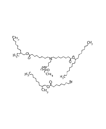 CCCCCCCC(C)COC(=O)CCCCCCCBr.CCCCCCCCC(CCCCCCCC)OC(=O)CCCCCCCN(CCCCCCCC(=O)OCC(C)CCCCCCC)CCCNS(=O)(=O)CC